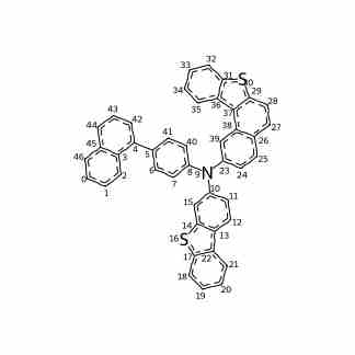 c1ccc2c(-c3ccc(N(c4ccc5c(c4)sc4ccccc45)c4ccc5ccc6sc7ccccc7c6c5c4)cc3)cccc2c1